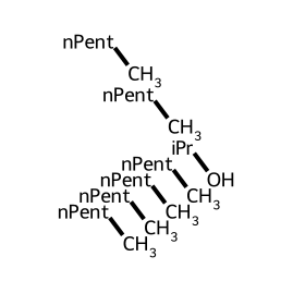 CC(C)O.CCCCCC.CCCCCC.CCCCCC.CCCCCC.CCCCCC.CCCCCC